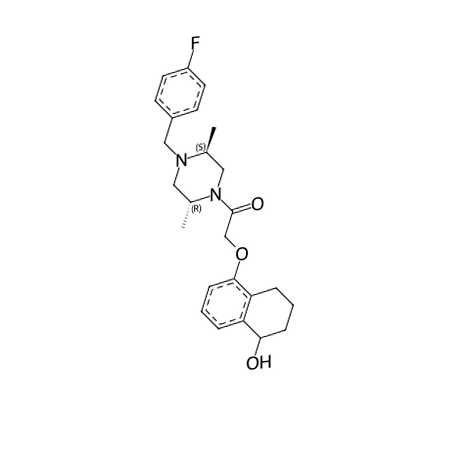 C[C@@H]1CN(Cc2ccc(F)cc2)[C@@H](C)CN1C(=O)COc1cccc2c1CCCC2O